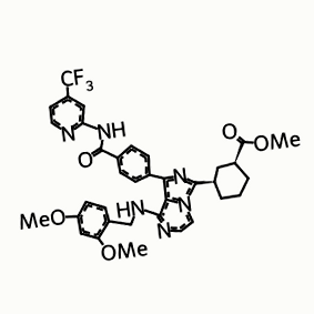 COC(=O)[C@H]1CCC[C@@H](c2nc(-c3ccc(C(=O)Nc4cc(C(F)(F)F)ccn4)cc3)c3c(NCc4ccc(OC)cc4OC)nccn23)C1